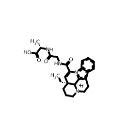 CC[C@@]12C=C(C(=O)NCC(=O)N[C@@H](C)C(=O)O)n3c4c(c5ccccc53)CCN(CCC1)[C@H]42